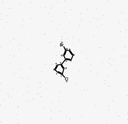 Clc1cc[c]c(-c2cccc(Br)c2)c1